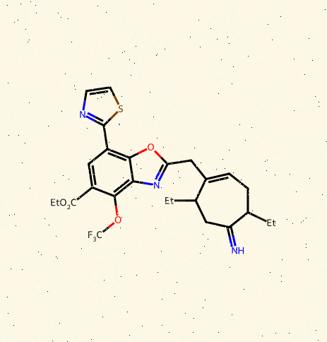 CCOC(=O)c1cc(-c2nccs2)c2oc(CC3=CCC(CC)C(=N)CC3CC)nc2c1OC(F)(F)F